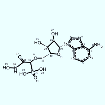 Nc1ncnc2c1ncn2[C@@H]1O[C@H](COC(C(=O)NO)P(=O)(O)O)[C@H](O)[C@H]1O